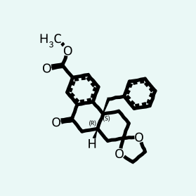 COC(=O)c1ccc2c(c1)C(=O)C[C@H]1CC3(CC[C@@]21Cc1ccccc1)OCCO3